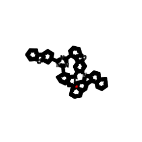 c1ccc(-c2nc(-c3ccc4c(c3)oc3ccccc34)nc(-c3cccc4oc5cc(-n6c7cc8ccccc8cc7c7c8ccccc8ccc76)c(-c6ccccc6)cc5c34)n2)cc1